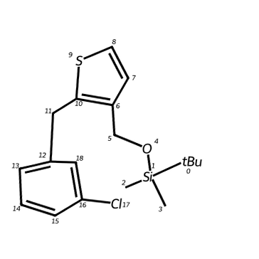 CC(C)(C)[Si](C)(C)OCc1ccsc1Cc1cccc(Cl)c1